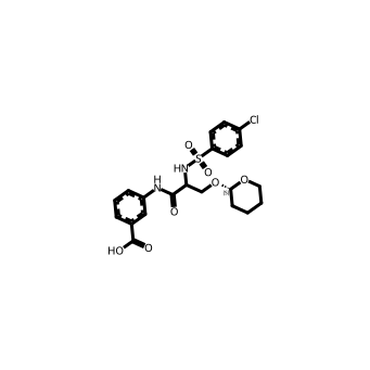 O=C(O)c1cccc(NC(=O)C(CO[C@H]2CCCCO2)NS(=O)(=O)c2ccc(Cl)cc2)c1